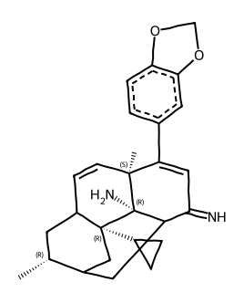 C[C@@H]1CC2C=C[C@@]3(C)C(c4ccc5c(c4)OCO5)=CC(=N)C4CC1C[C@]2(C1CC1)[C@]43N